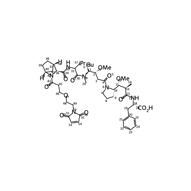 CC[C@H](C)[C@@H]([C@@H](CC(=O)N1CCC[C@H]1[C@H](OC)[C@@H](C)C(=O)N[C@@H](Cc1ccccc1)C(=O)O)OC)N(C)C(=O)C(NC(=O)[C@@H]1[C@H]2CC[C@H](C2)N1C(=O)CCOCCN1C(=O)C=CC1=O)C(C)C